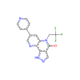 O=c1c2cn[nH]c2c2ncc(-c3ccncc3)cc2n1CC(F)(F)F